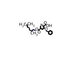 CC(C)=CCC/C(C)=C/COC(=O)c1cnc(C(=O)O)c(OCc2ccccc2)c1